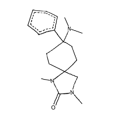 CN1CC2(CCC(c3ccccc3)(N(C)C)CC2)N(C)C1=O